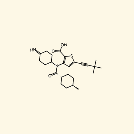 CC(C)(C)C#Cc1cc(N(C(=O)[C@H]2CC[C@H](C)CC2)C2CCC(=N)CC2)c(C(=O)O)s1